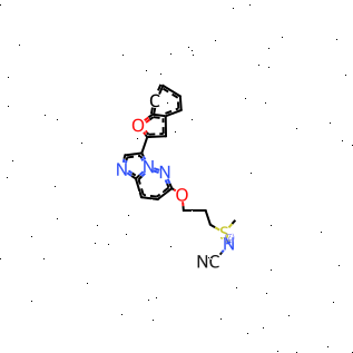 C/S(CCCOc1ccc2ncc(-c3cc4ccccc4o3)n2n1)=N/C#N